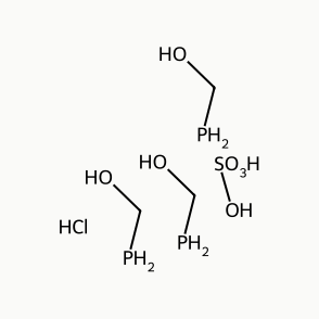 Cl.O=S(=O)(O)O.OCP.OCP.OCP